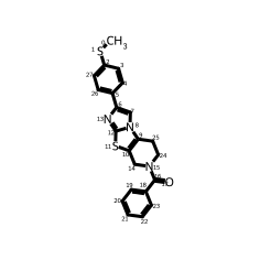 CSc1ccc(-c2cn3c4c(sc3n2)CN(C(=O)c2ccccc2)CC4)cc1